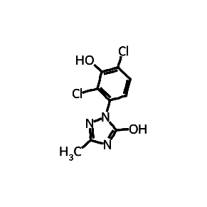 Cc1nc(O)n(-c2ccc(Cl)c(O)c2Cl)n1